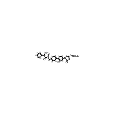 CC(=O)NC[C@H]1CN(c2ccc(-c3ccc(CNC(=O)C(N)c4cccnc4)cc3)c(F)c2)C(=O)O1